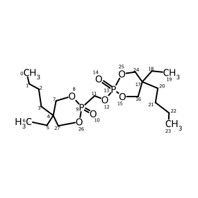 CCCCC1(CC)COP(=O)(COP2(=O)OCC(CC)(CCCC)CO2)OC1